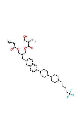 C=CC(=O)OCC(COC(=O)C(=C)CO)Cc1ccc2cc(C3CCC(C4CCC(CCCCC(F)(F)F)CC4)CC3)ccc2c1